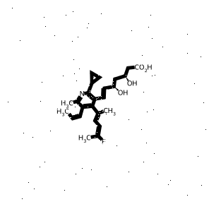 C/C=C\c1c(C)nc(C2CC2)c(/C=C/[C@@H](O)C[C@@H](O)CC(=O)O)c1/C(C)=C/C=C(\C)F